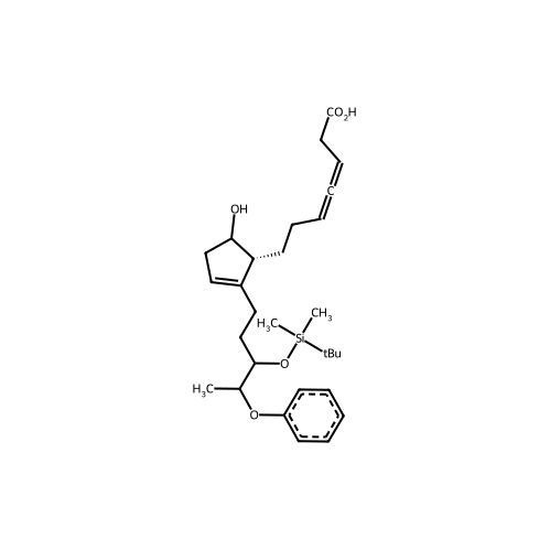 CC(Oc1ccccc1)C(CCC1=CCC(O)[C@@H]1CCC=C=CCC(=O)O)O[Si](C)(C)C(C)(C)C